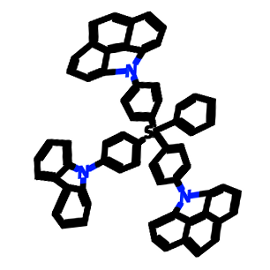 c1ccc([Si](c2ccc(-n3c4ccccc4c4ccccc43)cc2)(c2ccc(-n3c4cccc5ccc6cccc3c6c54)cc2)c2ccc(-n3c4cccc5ccc6cccc3c6c54)cc2)cc1